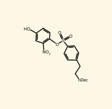 CCCCCCCCCCCCc1ccc(S(=O)(=O)Oc2ccc(O)cc2[N+](=O)[O-])cc1